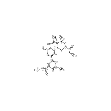 C=CC(=O)N1C[C@H](c2cc(Cl)nc(-c3cc(C(=O)NC)nc(C)n3)c2)N(C(C)=O)[C@@H](C)C1